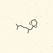 CC(C)CCCC(C)CC1OCCCO1